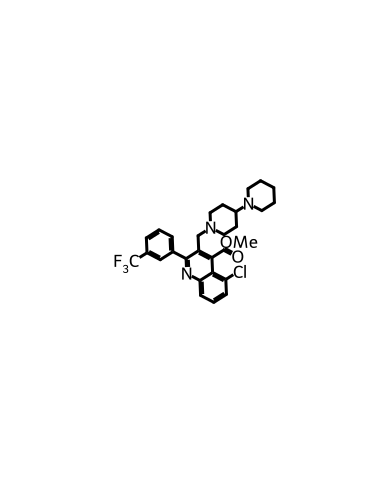 COC(=O)c1c(CN2CCC(N3CCCCC3)CC2)c(-c2cccc(C(F)(F)F)c2)nc2cccc(Cl)c12